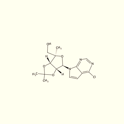 CC1(C)O[C@H]2[C@H](n3ccc4c(Cl)ncnc43)O[C@](C)(CO)[C@H]2O1